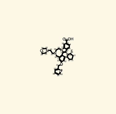 O=C(O)c1ccc2c([C@@H]3CCCC[C@H]3F)c3n(c2c1)CCN(CCN1CCOCC1)Cc1cc(OCc2ccccn2)ccc1-3